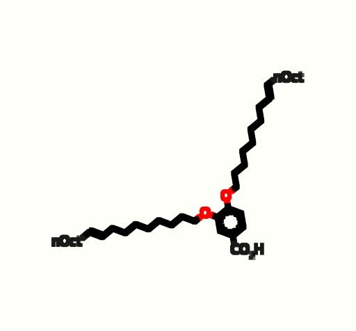 CCCCCCCCC=CCCCCCCCCOc1ccc(C(=O)O)cc1OCCCCCCCCC=CCCCCCCCC